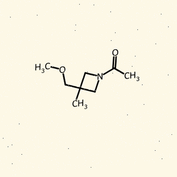 COCC1(C)CN(C(C)=O)C1